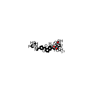 CC(C)(C)C1[C@H](F)CN(C(=O)O)[C@]1(c1ncc(-c2ccc3c(ccc4oc5cc(-c6cnc([C@@H]7C[C@@H](F)CN7C(=O)O)[nH]6)ccc5c(=O)c43)c2)[nH]1)C(C)(C)C